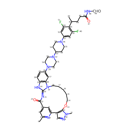 Cc1cc2cc(n1)-c1cnn(C)c1OCCCCCN1/C(=N/C2=O)Nc2ccc(N3CCN(C4CCN(c5cc(F)c(C(C)CCC(=O)NC=O)c(F)c5)CC4)CC3)cc21